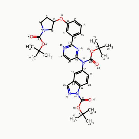 CC(C)(C)OC(=O)N1CCC(Oc2cccc(-c3nccc(N(C(=O)OC(C)(C)C)c4ccc5c(cnn5C(=O)OC(C)(C)C)c4)n3)c2)C1